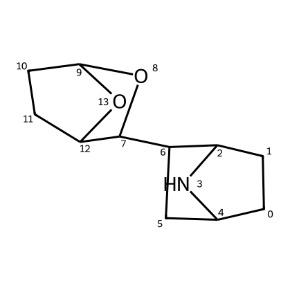 C1CC2NC1CC2C1OC2CCC1O2